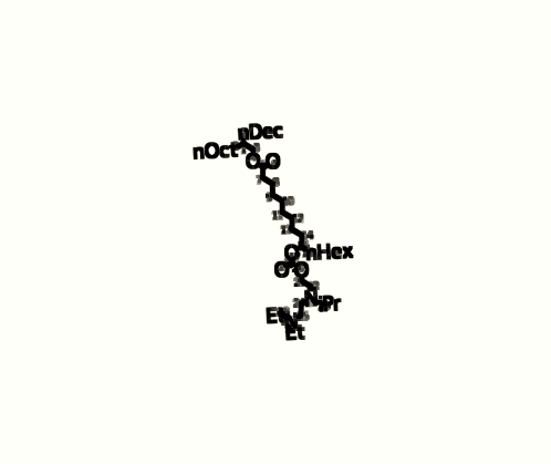 CCCCCCCCCCC(CCCCCCCC)COC(=O)CCCCCCCCC(CCCCCC)OC(=O)OCCN(CCN(CC)CC)C(C)C